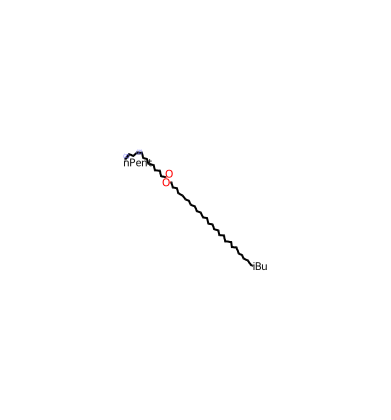 CCCCC/C=C\C/C=C\CCCCCCCC(=O)OCCCCCCCCCCCCCCCCCCCCCCCCCCCCC(C)CC